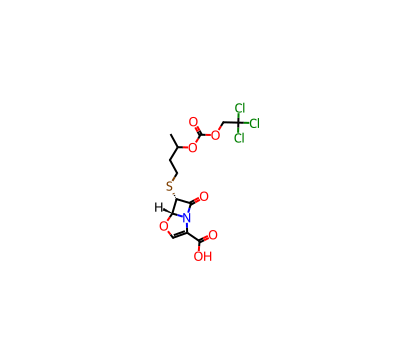 CC(CCS[C@@H]1C(=O)N2C(C(=O)O)=CO[C@H]12)OC(=O)OCC(Cl)(Cl)Cl